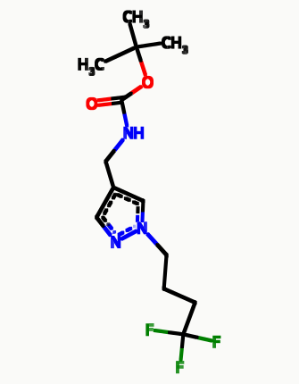 CC(C)(C)OC(=O)NCc1cnn(CCCC(F)(F)F)c1